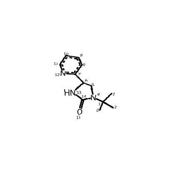 CC(C)(C)N1CC(c2ccccn2)NC1=O